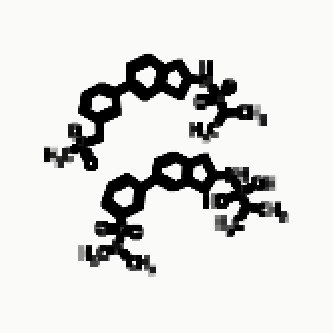 CC(C)S(=O)(=O)NC1Cc2ccc(-c3cccc(CS(C)(=O)=O)c3)cc2C1.CC(C)S(O)(O)NC1Cc2ccc(-c3cccc(S(=O)(=O)N(C)C)c3)cc2C1